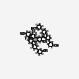 N#Cc1cccc(-c2ccc3c4ccc(-c5cccc(C#N)c5)cc4n(-c4cc(-c5cc(C(F)(F)F)cc(C(F)(F)F)c5)c(-n5c6cc(-c7cccc(C#N)c7)ccc6c6ccc(-c7cccc(C#N)c7)cc65)cc4C#N)c3c2)c1